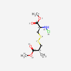 COC(=O)[C@H](CSSC[C@H](C)C(=O)OC)NCl